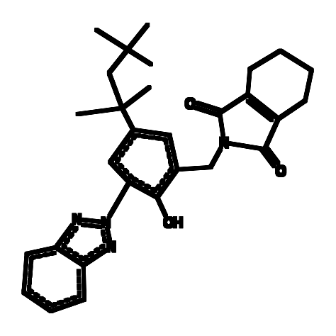 CC(C)(C)CC(C)(C)c1cc(CN2C(=O)C3=C(CCCC3)C2=O)c(O)c(-n2nc3ccccc3n2)c1